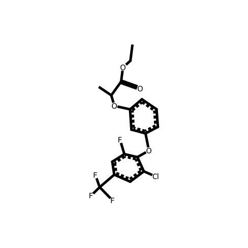 CCOC(=O)C(C)Oc1cccc(Oc2c(F)cc(C(F)(F)F)cc2Cl)c1